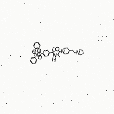 CC(NC(=O)c1ccc(S(=O)(=O)N(Oc2ccccc2)c2ccccc2)cc1)C(=O)N1CCC(CCN2CCCC2)CC1